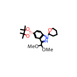 COC(OC)c1nn(C2CCCCO2)c2ccc(B3OC(C)(C)C(C)(C)O3)cc12